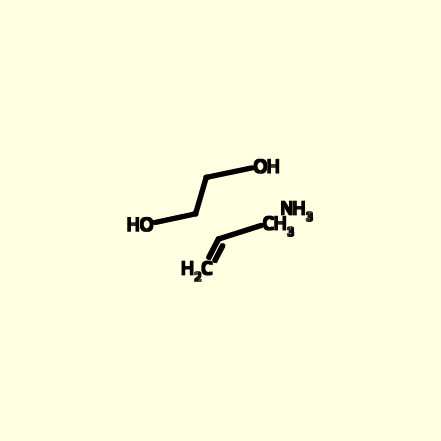 C=CC.N.OCCO